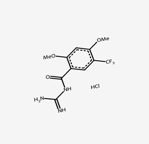 COc1cc(OC)c(C(F)(F)F)cc1C(=O)NC(=N)N.Cl